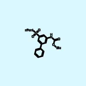 CCCCCS(=O)(=O)c1cc(NC(=O)OC(C)(C)C)cc(-c2ccccc2)c1